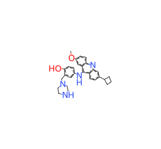 COc1ccc2nc3cc(C4CCC4)ccc3c(Nc3ccc(O)c(CN4CCNCC4)c3)c2c1